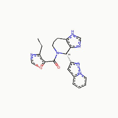 CCc1ncoc1C(=O)N1CCc2[nH]cnc2[C@@H]1c1cc2ccccn2n1